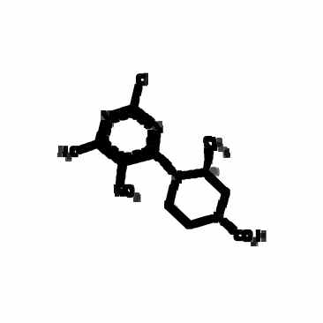 Cc1nc(Cl)nc(N2CCN(C(=O)O)C[C@@H]2C)c1[N+](=O)[O-]